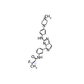 C/C(F)=C/C(=O)Nc1cccc(-c2nccc3cnc(Nc4ccc(N5CCN(C)CC5)cc4)nc23)c1